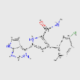 CNC(=O)c1[nH]c(-c2ncnc3[nH]ccc23)cc1-c1cc(Cl)ccc1C